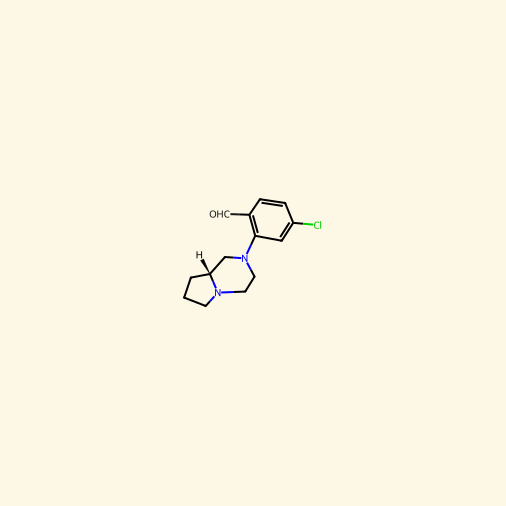 O=Cc1ccc(Cl)cc1N1CCN2CCC[C@@H]2C1